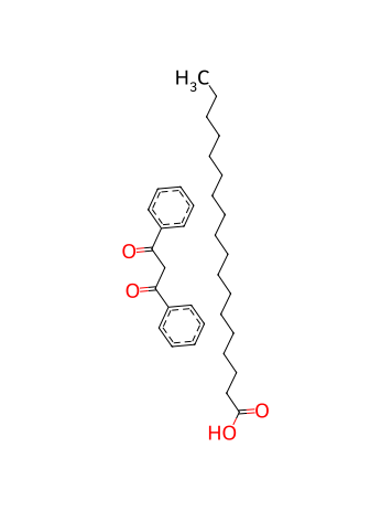 CCCCCCCCCCCCCCCCCC(=O)O.O=C(CC(=O)c1ccccc1)c1ccccc1